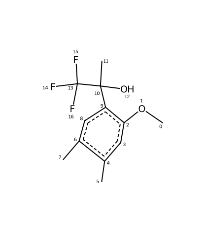 COc1cc(C)c(C)cc1C(C)(O)C(F)(F)F